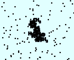 Cc1cc(-c2csc([C@]3(C)CC(=O)N(C)C(=N)N3)c2)ncn1